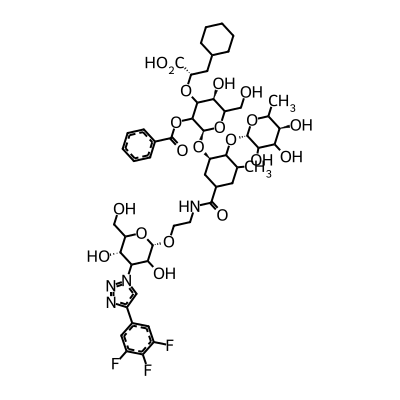 CC1CC(C(=O)NCCO[C@H]2OC(CO)[C@@H](O)C(n3cc(-c4cc(F)c(F)c(F)c4)nn3)C2O)C[C@@H](O[C@@H]2OC(CO)[C@H](O)C(O[C@@H](CC3CCCCC3)C(=O)O)C2OC(=O)c2ccccc2)C1O[C@@H]1OC(C)[C@@H](O)C(O)C1O